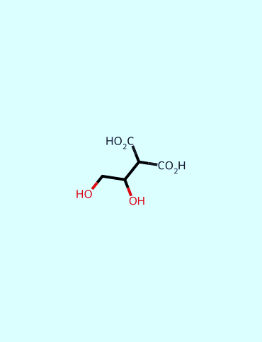 O=C(O)C(C(=O)O)C(O)CO